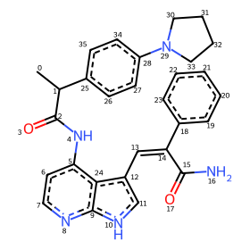 CC(C(=O)Nc1ccnc2[nH]cc(C=C(C(N)=O)c3ccccc3)c12)c1ccc(N2CCCC2)cc1